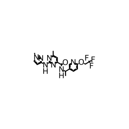 Cc1cc(C(=O)NC(C)c2ccc(OCC(F)(F)F)nc2)nc(Nc2ccn(C)n2)n1